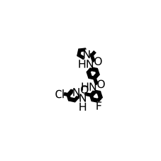 CC(C(=O)Nc1ccc(C(=O)Nc2ccc(F)cc2C(=O)Nc2ccc(Cl)cn2)cc1)N1CCCC1